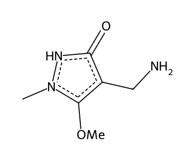 COc1c(CN)c(=O)[nH]n1C